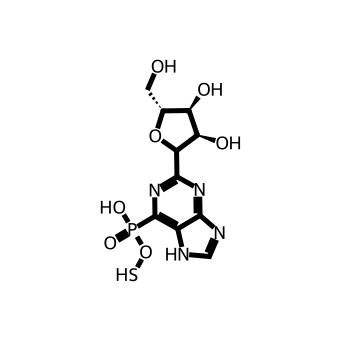 O=P(O)(OS)c1nc(C2O[C@H](CO)[C@@H](O)[C@H]2O)nc2nc[nH]c12